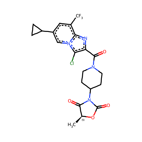 C[C@@H]1OC(=O)N(C2CCN(C(=O)c3nc4c(C(F)(F)F)cc(C5CC5)cn4c3Cl)CC2)C1=O